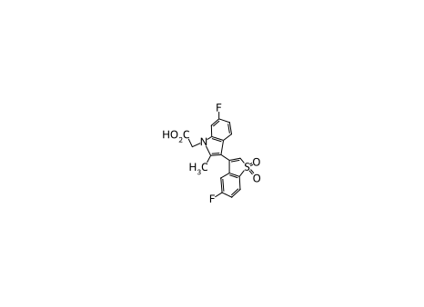 Cc1c(C2=CS(=O)(=O)c3ccc(F)cc32)c2ccc(F)cc2n1CC(=O)O